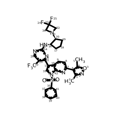 Cc1noc(C)c1-c1ccc2c(-c3nc(N[C@H]4CCC[C@@H]4N4CC(F)(F)C4)ncc3C(F)(F)F)cn(S(=O)(=O)c3ccccc3)c2n1